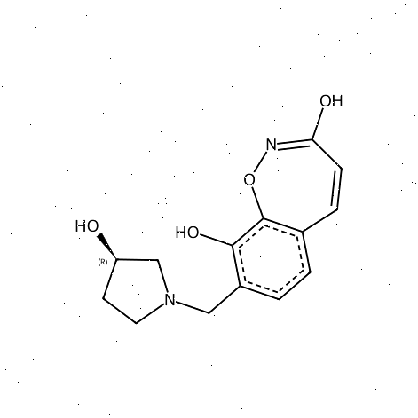 OC1=NOc2c(ccc(CN3CC[C@@H](O)C3)c2O)C=C1